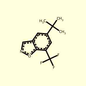 CC(C)(C)c1cc(C(F)(F)F)c2oncc2c1